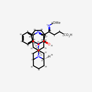 CON=C(CCC(=O)O)c1nc2ccccc2n([C@@H]2CC3CCC[C@H](C2)N3C2CC3CCCCC(C3)C2)c1=O